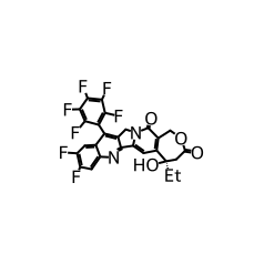 CC[C@@]1(O)CC(=O)OCc2c1cc1n(c2=O)Cc2c-1nc1cc(F)c(F)cc1c2-c1c(F)c(F)c(F)c(F)c1F